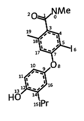 CNC(=O)c1cc(I)c(Oc2ccc(O)c(C(C)C)c2)cc1C